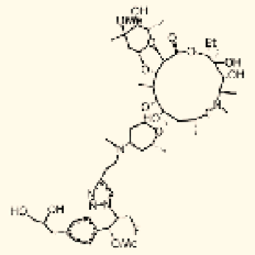 CC[C@H]1OC(=O)[C@H](C)[C@@H](O[C@H]2C[C@@](C)(OC)[C@@H](O)[C@H](C)O2)[C@H](C)[C@@H](O[C@H]2C[C@@H](N(C)CCc3cn([C@H](CF)[C@H](OC)c4ccc(CC(O)CO)cc4)nn3)C[C@@H](C)O2)[C@](C)(O)C[C@@H](C)CN(C)[C@H](C)[C@@H](O)[C@]1(C)O